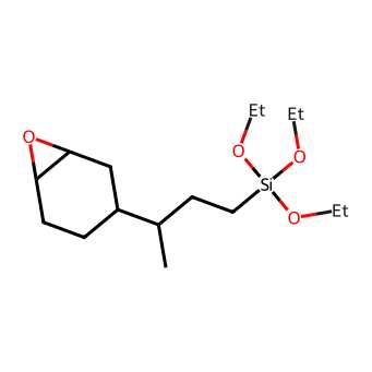 CCO[Si](CCC(C)C1CCC2OC2C1)(OCC)OCC